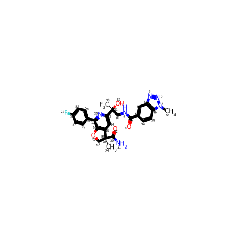 Cn1nnc2cc(C(=O)NC[C@](O)(c3cc4c(c(-c5ccc(F)cc5)n3)OC[C@]4(C)C(N)=O)C(F)(F)F)ccc21